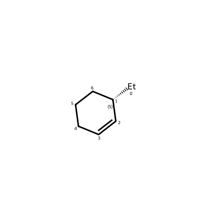 CC[C@@H]1C=CCCC1